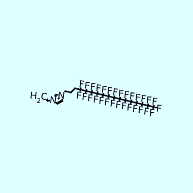 C=C[n+]1ccn(CCCC(F)(F)C(F)(F)C(F)(F)C(F)(F)C(F)(F)C(F)(F)C(F)(F)C(F)(F)C(F)(F)C(F)(F)C(F)(F)C(F)(F)C(F)(F)C(F)(F)F)c1